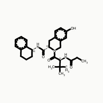 C[CH]C(=O)N[C@H](C(=O)N1Cc2cc(O)ccc2C[C@H]1C(=O)N[C@@H]1CCCc2ccccc21)C(C)(C)C